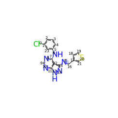 Clc1cccc(Nc2ncnc3[nH]nc(/N=C/c4ccsc4)c23)c1